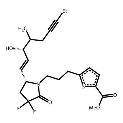 CCC#CCC(C)[C@@H](O)/C=C/[C@H]1CC(F)(F)C(=O)N1CCCc1ccc(C(=O)OC)s1